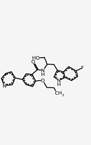 CCCOc1ccc(-c2cccnc2)cc1C(=O)NC(CO)Cc1c[nH]c2ccc(F)cc12